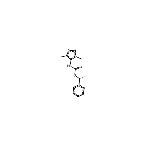 Cc1nsc(C)c1NC(=O)O[C@H](C)c1ccccn1